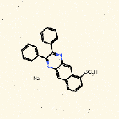 O=S(=O)(O)c1cccc2cc3nc(-c4ccccc4)c(-c4ccccc4)nc3cc12.[Na]